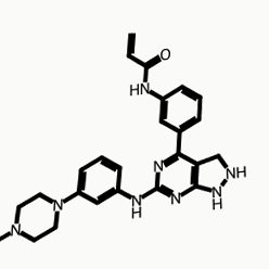 C=CC(=O)Nc1cccc(-c2nc(Nc3cccc(N4CCN(C)CC4)c3)nc3c2CNN3)c1